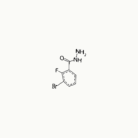 NNC(=O)c1cccc(Br)c1F